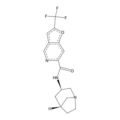 O=C(N[C@@H]1C[C@H]2CCN(C2)C1)c1cc2oc(C(F)(F)F)cc2cn1